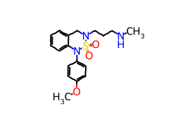 CNCCCN1Cc2ccccc2N(c2ccc(OC)cc2)S1(=O)=O